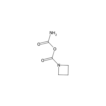 NC(=O)OC(=O)N1CCC1